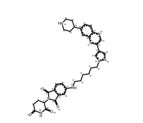 O=C1CCC(N2C(=O)c3ccc(NCCCCCCn4cc(-c5cnc6ccc(C7CCNCC7)cc6n5)cn4)cc3C2=O)C(=O)N1